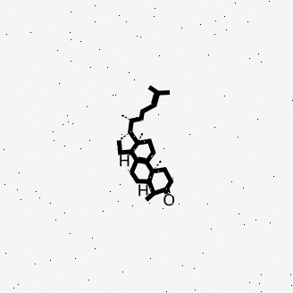 CC(C)=CCC[C@@H](C)[C@H]1CC[C@H]2C3=C(CC[C@]12C)[C@@]1(C)CCC(=O)C(C)[C@@H]1CC3